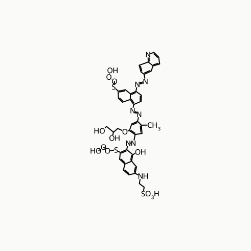 Cc1cc(N=Nc2c(SOOO)cc3ccc(NCCS(=O)(=O)O)cc3c2O)c(OCC(O)CO)cc1N=Nc1ccc(N=Nc2ccc3ncccc3c2)c2cc(SOOO)ccc12